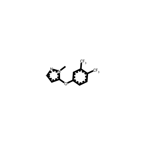 Cn1n[c]cc1Oc1ccc(C(F)(F)F)c(C(F)(F)F)c1